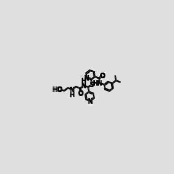 CC(C)c1cccc(NC(=O)c2cccnc2SC(NC(=O)CNCCO)c2ccncc2)c1